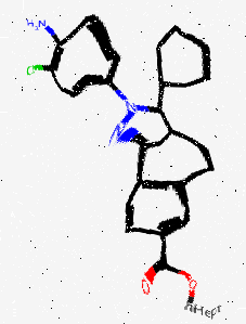 CCCCCCCOC(=O)c1ccc2c(c1)CCC1C2=NN(c2ccc(N)c(Cl)c2)C1C1CCCC1